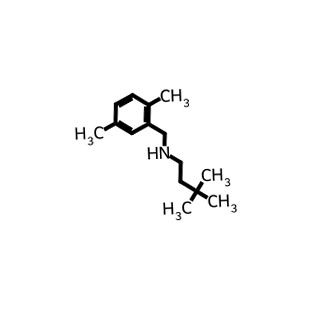 Cc1ccc(C)c(CNCCC(C)(C)C)c1